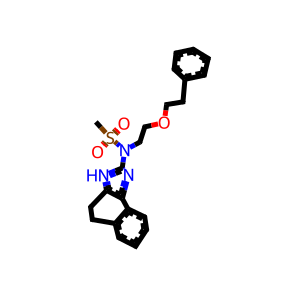 CS(=O)(=O)N(CCOCCc1ccccc1)c1nc2c([nH]1)CCc1ccccc1-2